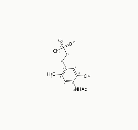 CC(=O)Nc1cc(C)c(CCS(=O)(=O)Cl)cc1Cl